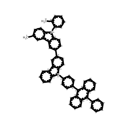 Cc1ccc2c(c1)c1cc(-c3ccc4c(c3)c3ccccc3n4-c3ccc(-c4c5ccccc5c(-c5ccccc5)c5ccccc45)cc3)ccc1n2-c1ccccc1C